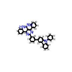 N=c1[nH]c2ccccc2c2nc(-c3cccc(-c4ccc5c(c4)c4ccccc4n5-c4ccccc4)c3)nc(-c3ccccc3)c12